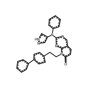 O=c1ccc2cnc(N(c3ccccc3)c3cn[nH]c3)nc2n1CCc1ccc(-c2ccccc2)cc1